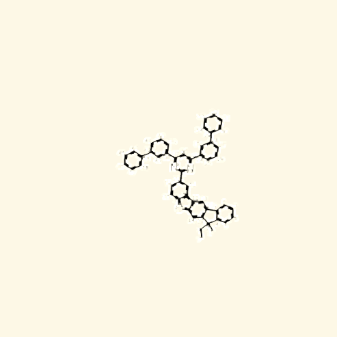 CCC1(C)c2ccccc2-c2cc3c(cc21)oc1ccc(-c2nc(-c4cccc(-c5ccccc5)c4)cc(-c4cccc(-c5ccccc5)c4)n2)cc13